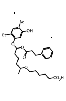 CCc1cc(C(C)=O)c(O)cc1OC(CCCC(C)OCCCCCC(=O)O)OC(=O)CCc1ccccc1